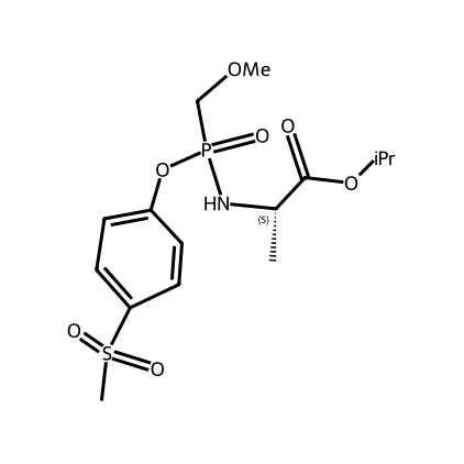 COCP(=O)(N[C@@H](C)C(=O)OC(C)C)Oc1ccc(S(C)(=O)=O)cc1